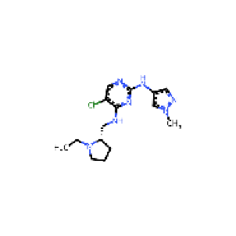 CCN1CCC[C@H]1CNc1nc(Nc2cnn(C)c2)ncc1Cl